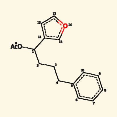 CC(=O)OC(CCCc1ccccc1)c1ccoc1